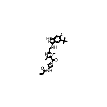 C=CC(=O)NC1CN(C(=O)c2c(C)nc(CNc3n[nH]c4cc(Cl)c(C(C)(C)C)cc34)n2C)C1